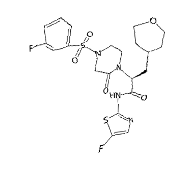 O=C(Nc1ncc(F)s1)[C@H](CC1CCOCC1)N1CCN(S(=O)(=O)c2cccc(F)c2)CC1=O